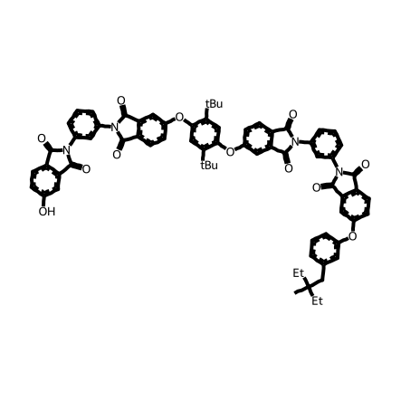 CCC(C)(CC)Cc1cccc(Oc2ccc3c(c2)C(=O)N(c2cccc(N4C(=O)c5ccc(Oc6cc(C(C)(C)C)c(Oc7ccc8c(c7)C(=O)N(c7cccc(N9C(=O)c%10ccc(O)cc%10C9=O)c7)C8=O)cc6C(C)(C)C)cc5C4=O)c2)C3=O)c1